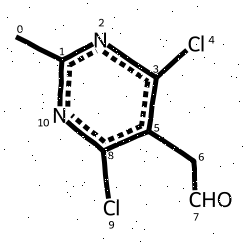 Cc1nc(Cl)c(CC=O)c(Cl)n1